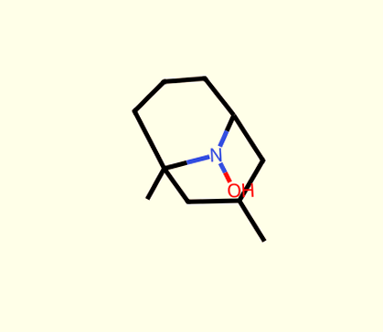 CC1CC2CCCC(C)(C1)N2O